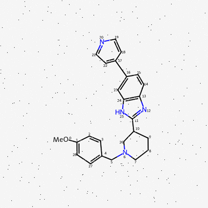 COc1ccc(CN2CCCC(c3nc4ccc(-c5ccncc5)cc4[nH]3)C2)cc1